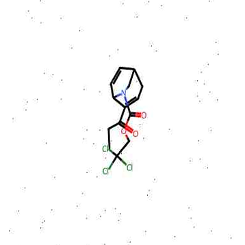 CCC(=O)C1=CCC2C=CC1N(C(=O)OCC(Cl)(Cl)Cl)C2